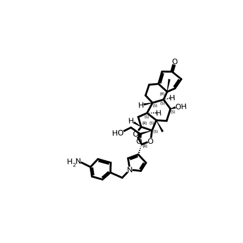 C[C@]12C=CC(=O)C=C1CC[C@@H]1[C@@H]2[C@@H](O)C[C@@]2(C)[C@H]1C[C@H]1O[C@@H](c3ccn(Cc4ccc(N)cc4)c3)O[C@]12C(=O)CO